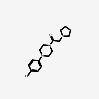 O=C(CN1CCCC1)N1CCN(c2ccc(Cl)cc2)CC1